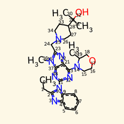 CCc1nc2ccccc2n1-c1nc(N2CCOCC2C)c2nc(CN3CCC(C(C)(C)O)CC3)n(C)c2n1